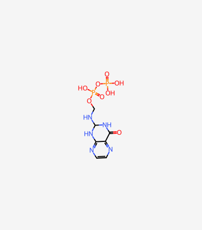 O=C1NC(NCOP(=O)(O)OP(=O)(O)O)Nc2nccnc21